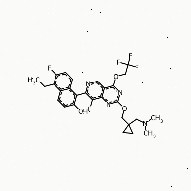 CCc1c(F)ccc2c(-c3ncc4c(OCC(F)(F)F)nc(OCC5(CN(C)C)CC5)nc4c3F)c(O)ccc12